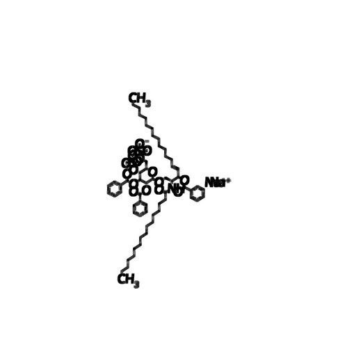 CCCCCCCCCCCCC/C=C/[C@@H](OC(=O)c1ccccc1)[C@H](CO[C@@H]1O[C@H](COS(=O)(=O)[O-])[C@@H](OS(=O)(=O)[O-])[C@H](OC(=O)c2ccccc2)[C@H]1OC(=O)c1ccccc1)NC(=O)CCCCCCCCCCCCCCC.[Na+].[Na+]